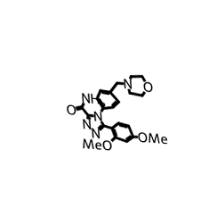 COc1ccc(-c2nnc(C(N)=O)n2-c2ccc(CN3CCOCC3)cc2)c(OC)c1